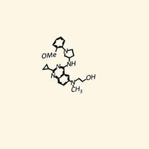 COc1ccccc1N1CCC(Nc2nc(C3CC3)nc3ccc(N(C)CCO)cc23)C1